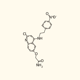 NC(=O)COc1ccc2nc(Cl)cc(NCCc3ccc([N+](=O)[O-])cc3)c2c1